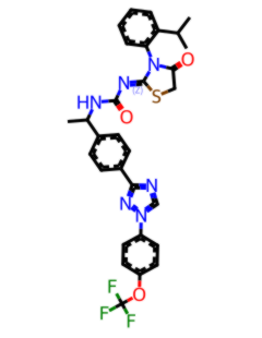 CC(C)c1ccccc1N1C(=O)CS/C1=N\C(=O)NC(C)c1ccc(-c2ncn(-c3ccc(OC(F)(F)F)cc3)n2)cc1